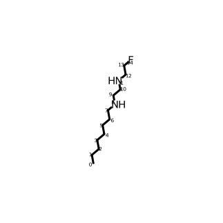 CCCCCCCCNCCNCCF